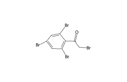 O=C(CBr)c1c(Br)cc(Br)cc1Br